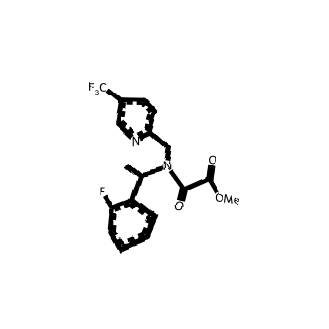 COC(=O)C(=O)N(Cc1ccc(C(F)(F)F)cn1)C(C)c1ccccc1F